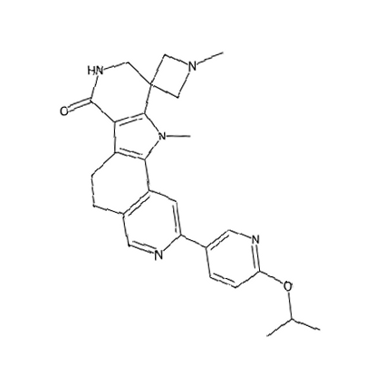 CC(C)Oc1ccc(-c2cc3c(cn2)CCc2c4c(n(C)c2-3)C2(CNC4=O)CN(C)C2)cn1